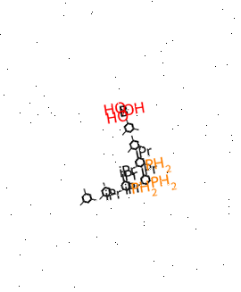 CC(C)c1cc(P)cc(C(C)C)c1.CC(C)c1cc(P)cc(C(C)C)c1.CC(C)c1cc(P)cc(C(C)C)c1.Cc1cc(C)cc(C)c1.Cc1cc(C)cc(C)c1.Cc1cc(C)cc(C)c1.Cc1cc(C)cc(C)c1.OB(O)O